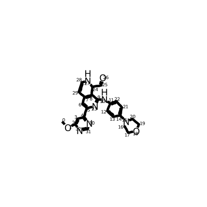 COc1cc(-c2cc3c(c(Nc4ccc(N5CCOCC5)cc4)n2)C(C=O)NC=C3)ncn1